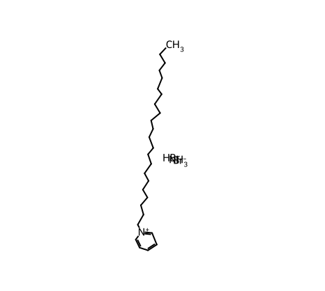 Br.CCCCCCCCCCCCCCCCCCCCCC[n+]1ccccc1.N.[Br-]